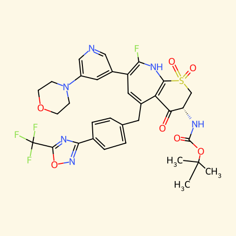 CC(C)(C)OC(=O)N[C@H]1CS(=O)(=O)C2=C(C1=O)C(Cc1ccc(-c3noc(C(F)(F)F)n3)cc1)=CC(c1cncc(N3CCOCC3)c1)=C(F)N2